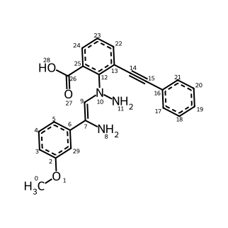 COc1cccc(/C(N)=C/N(N)c2c(C#Cc3ccccc3)cccc2C(=O)O)c1